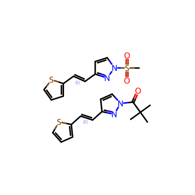 CC(C)(C)C(=O)n1ccc(/C=C/c2cccs2)n1.CS(=O)(=O)n1ccc(/C=C/c2cccs2)n1